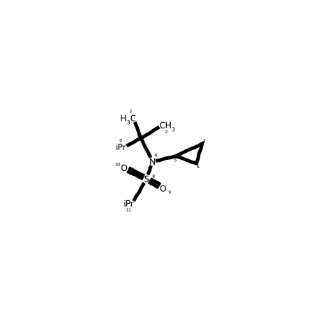 CC(C)C(C)(C)N(C1CC1)S(=O)(=O)C(C)C